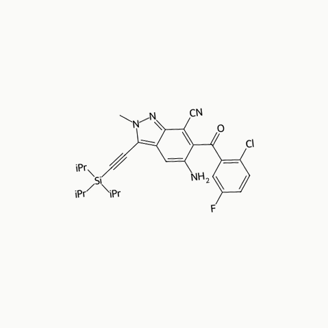 CC(C)[Si](C#Cc1c2cc(N)c(C(=O)c3cc(F)ccc3Cl)c(C#N)c2nn1C)(C(C)C)C(C)C